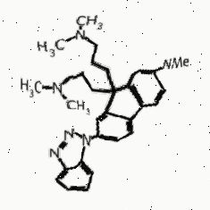 CNc1ccc2c(c1)C(CCCN(C)C)(CCCN(C)C)c1cc(-n3nnc4ccccc43)ccc1-2